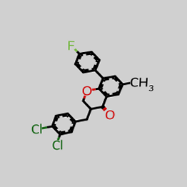 Cc1cc2c(c(-c3ccc(F)cc3)c1)OCC(Cc1ccc(Cl)c(Cl)c1)C2=O